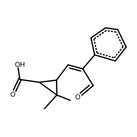 CC1(C)C(/C=C(\C=O)c2ccccc2)C1C(=O)O